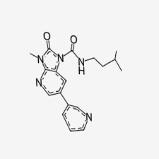 CC(C)CCNC(=O)n1c(=O)n(C)c2ncc(-c3cccnc3)cc21